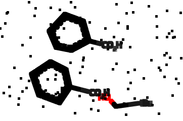 CC(C)(C)CO.O=C(O)c1ccccc1.O=C(O)c1ccccc1